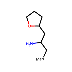 CNCC(N)CC1CCCO1